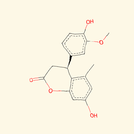 COc1cc([C@@H]2CC(=O)Oc3cc(O)cc(C)c32)ccc1O